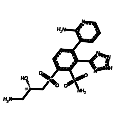 NC[C@H](O)CS(=O)(=O)c1ccc(-c2cccnc2N)c(-c2nn[nH]n2)c1S(N)(=O)=O